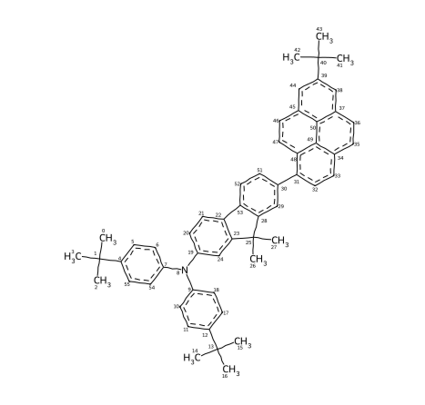 CC(C)(C)c1ccc(N(c2ccc(C(C)(C)C)cc2)c2ccc3c(c2)C(C)(C)c2cc(-c4ccc5ccc6cc(C(C)(C)C)cc7ccc4c5c67)ccc2-3)cc1